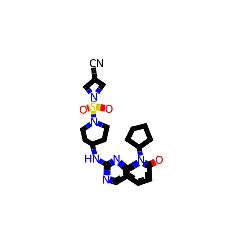 N#CC1CN(S(=O)(=O)N2CCC(Nc3ncc4ccc(=O)n(C5CCCC5)c4n3)CC2)C1